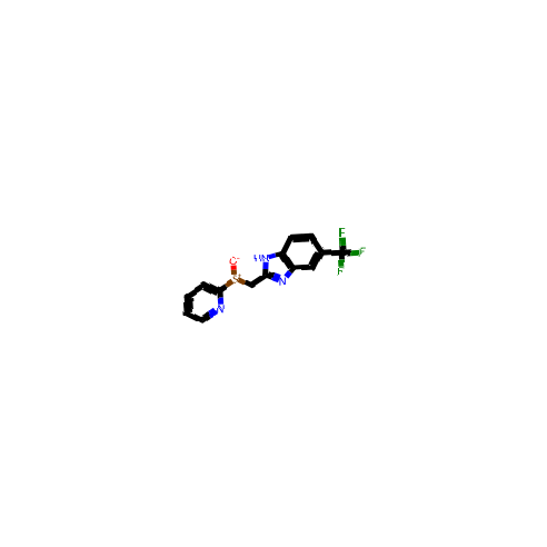 [O-][S+](Cc1nc2cc(C(F)(F)F)ccc2[nH]1)c1ccccn1